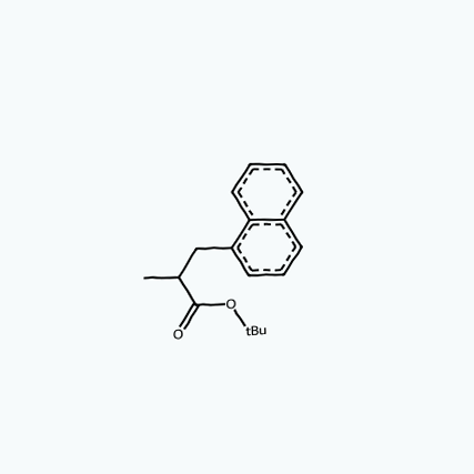 CC(Cc1cccc2ccccc12)C(=O)OC(C)(C)C